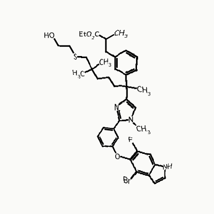 CCOC(=O)C(C)Cc1cccc(C(C)(CCCC(C)(C)CSCCO)c2cn(C)c(-c3cccc(Oc4c(F)cc5[nH]ccc5c4Br)c3)n2)c1